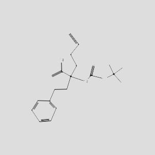 C=CCCC(CCc1ccccc1)(NC(=O)OC(C)(C)C)C(N)=O